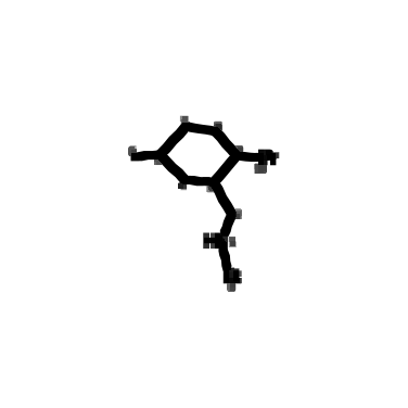 CCNCC1CC(C)CCC1C(C)C